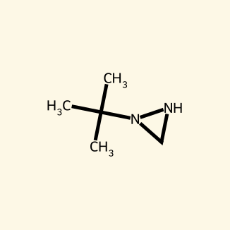 CC(C)(C)N1CN1